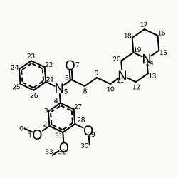 COc1cc(N(C(=O)CCCN2CCN3CCCCC3C2)c2ccccc2)cc(OC)c1OC